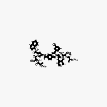 CN[C@@H](C)C(=O)NC(C(=O)N1CC(NC(=O)c2ccc(CN(C(=O)C3Cc4ccccc4CN3C(=O)C(NC(=O)[C@H](C)NC)C(C)(C)C)C(C)c3cccc(Cl)c3)cc2)CC1C(=O)NC1CCCc2ccccc21)C(C)(C)C